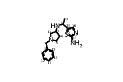 CC(NC1CCN(Cc2ccccc2)C1)c1cnc(N)s1